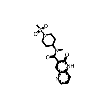 CN(C(=O)c1cc2ncccc2[nH]c1=O)C1CCN(S(C)(=O)=O)CC1